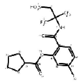 O=C(NC(CS(=O)(=O)O)(C(F)(F)F)C(F)(F)F)c1ccc(I)cc1OC(=O)C1CCCC1